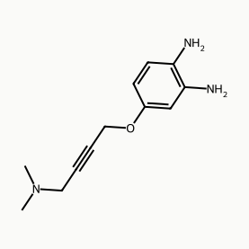 CN(C)CC#CCOc1ccc(N)c(N)c1